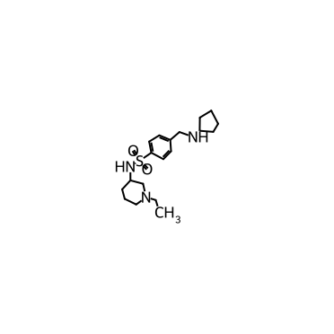 CCN1CCCC(NS(=O)(=O)c2ccc(CNC3CCCC3)cc2)C1